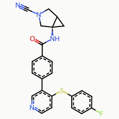 N#CN1CC2C[C@]2(NC(=O)c2ccc(-c3cnccc3Sc3ccc(F)cc3)cc2)C1